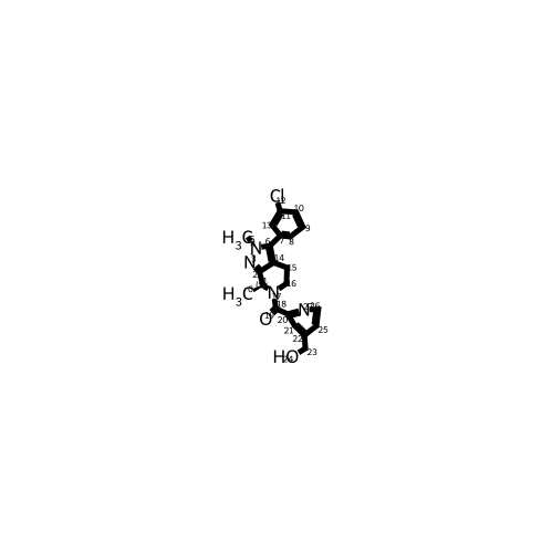 C[C@H]1c2nn(C)c(-c3cccc(Cl)c3)c2CCN1C(=O)c1cc(CO)ccn1